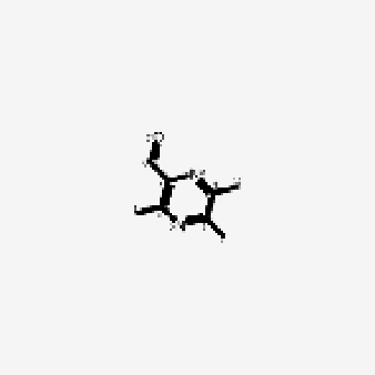 Cc1nc(C)c(C=O)nc1C